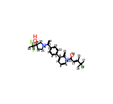 C=C(c1ccc(C2=CC=CN(C(=O)/C=C(\C)C(C)(C)F)C2=C)cc1)N1CCC(O)(C(C)(F)F)C1